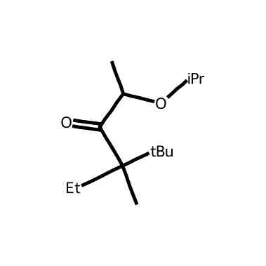 CCC(C)(C(=O)C(C)OC(C)C)C(C)(C)C